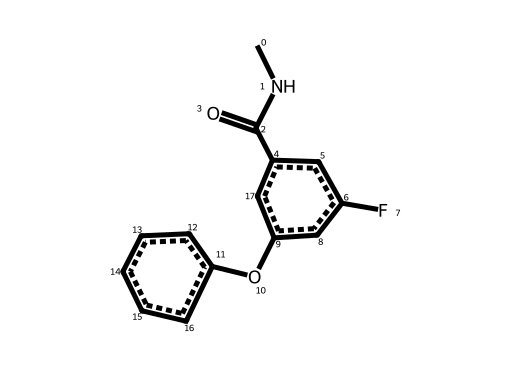 CNC(=O)c1cc(F)cc(Oc2ccccc2)c1